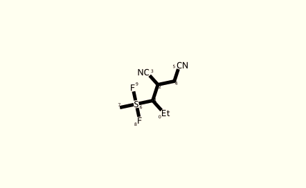 CCC(C(C#N)CC#N)S(C)(F)F